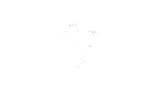 COc1cc2c(c3c1OC(C)(C)C3)C(c1cccc(C#N)c1)=NCC2(C)C